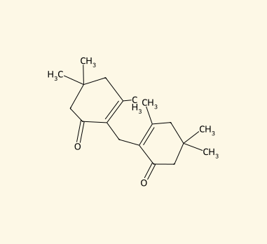 CC1=C(CC2=C(C)CC(C)(C)CC2=O)C(=O)CC(C)(C)C1